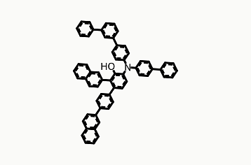 Oc1c(N(c2ccc(-c3ccccc3)cc2)c2ccc(-c3cccc(-c4ccccc4)c3)cc2)ccc(-c2ccc(-c3ccc4ccccc4c3)cc2)c1-c1ccc2ccccc2c1